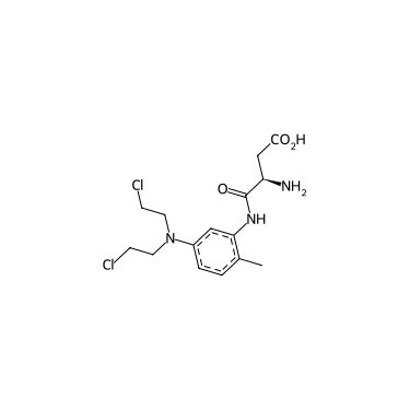 Cc1ccc(N(CCCl)CCCl)cc1NC(=O)[C@H](N)CC(=O)O